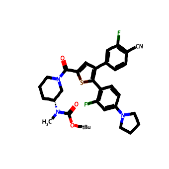 CN(C(=O)OC(C)(C)C)[C@@H]1CCCN(C(=O)c2cc(-c3ccc(C#N)c(F)c3)c(-c3ccc(N4CCCC4)cc3F)s2)C1